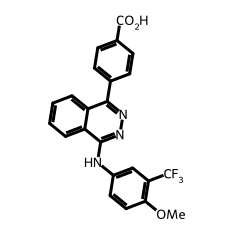 COc1ccc(Nc2nnc(-c3ccc(C(=O)O)cc3)c3ccccc23)cc1C(F)(F)F